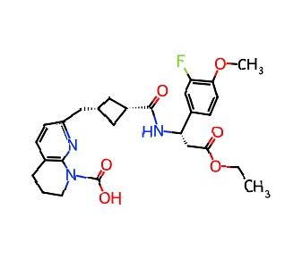 CCOC(=O)C[C@H](NC(=O)[C@H]1C[C@@H](Cc2ccc3c(n2)N(C(=O)O)CCC3)C1)c1ccc(OC)c(F)c1